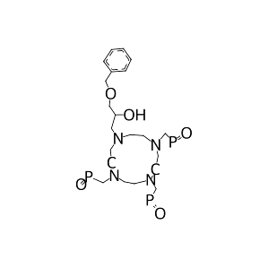 O=PCN1CCN(CP=O)CCN(CC(O)COCc2ccccc2)CCN(CP=O)CC1